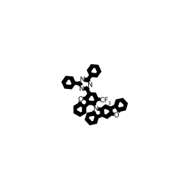 FC(F)(F)c1cc(-c2nc(-c3ccccc3)nc(-c3ccccc3)n2)c2oc3ccccc3c2c1-n1c2ccccc2c2cc3oc4ccccc4c3cc21